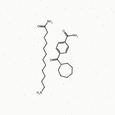 NC(=O)c1ccc(C(=O)N2CCCCCC2)cc1.NCCCCCCCCCCCC(N)=O